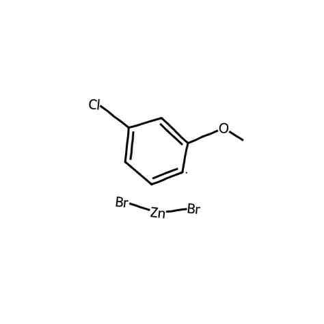 COc1[c]ccc(Cl)c1.[Br][Zn][Br]